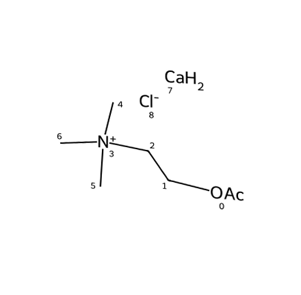 CC(=O)OCC[N+](C)(C)C.[CaH2].[Cl-]